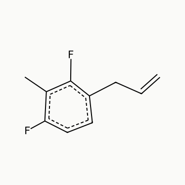 C=CCc1ccc(F)c(C)c1F